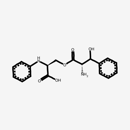 N[C@H](C(=O)OC[C@H](Nc1ccccc1)C(=O)O)C(O)c1ccccc1